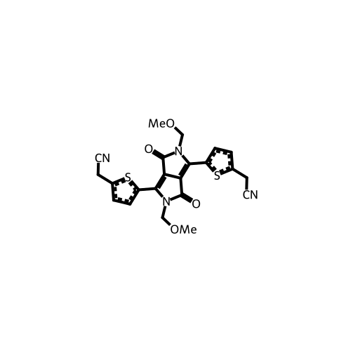 COCN1C(=O)C2=C(c3ccc(CC#N)s3)N(COC)C(=O)C2=C1c1ccc(CC#N)s1